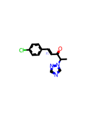 CC(C(=O)/C=C/c1ccc(Cl)cc1)n1cncn1